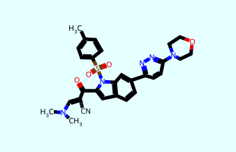 Cc1ccc(S(=O)(=O)n2c(C(=O)C(C#N)=CN(C)C)cc3ccc(-c4ccc(N5CCOCC5)nn4)cc32)cc1